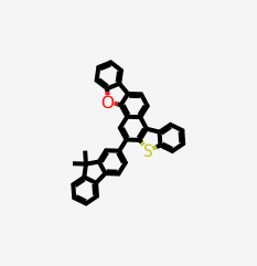 CC1(C)c2ccccc2-c2ccc(-c3cc4c(ccc5c6ccccc6oc54)c4c3sc3ccccc34)cc21